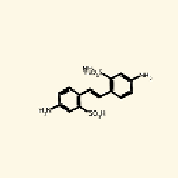 N.Nc1ccc(C=Cc2ccc(N)cc2S(=O)(=O)O)c(S(=O)(=O)O)c1